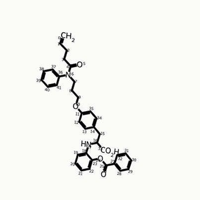 C=CCCC(=O)N(CCCOc1ccc(CC(Nc2ccccc2OC(=O)c2ccccc2)C(=O)O)cc1)c1ccccc1